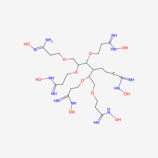 N=C(CCCC(C(COCCC(=N)NO)OCCC(=N)NO)C(OCCC(=N)NO)C(COCC/C(N)=N/O)OCCC(=N)NO)NO